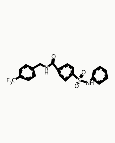 O=C(NCc1ccc(C(F)(F)F)cc1)c1ccc(S(=O)(=O)Nc2ccccc2)cc1